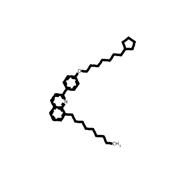 CCCCCCCCCc1cccc2ccc(-c3ccc(OCCCCCCCC4CCCC4)cc3)nc12